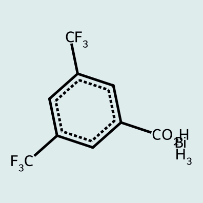 O=C(O)c1cc(C(F)(F)F)cc(C(F)(F)F)c1.[BiH3]